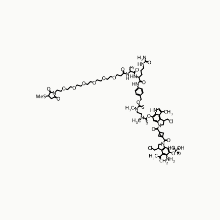 C=C(C)c1c(N)c(OP(=O)(O)O)cc2c1C(CCl)CN2C(=O)C12CC(C(=O)N3CC(CCl)c4c3cc(OC(=S)N(C)CCN(C)C(=S)OCc3ccc(NC(=O)C(CCCNC(N)=O)NC(=O)C(NC(=O)CCOCCOCCOCCOCCOCCOCCN5C(=O)CC(SC)C5=O)C(C)C)cc3)c3[nH]cc(C)c43)(C1)C2